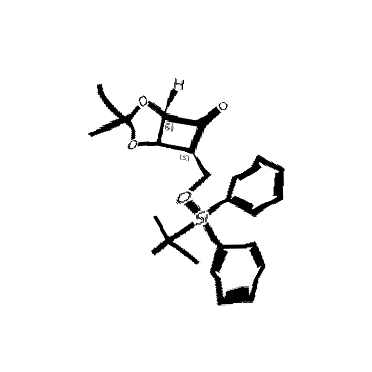 CC1(C)OC2[C@H](CO[Si](c3ccccc3)(c3ccccc3)C(C)(C)C)C(=O)[C@H]2O1